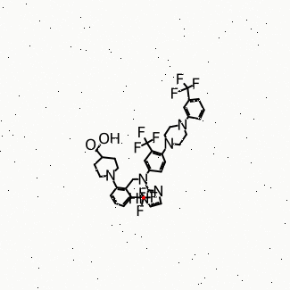 O=C(O)C1CCN(c2cccc(C(F)(F)F)c2CN(c2ccc(N3CCN(c4cccc(C(F)(F)F)c4)CC3)c(C(F)(F)F)c2)c2ncc[nH]2)CC1